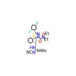 CCON(CC)C(=O)N1N=C(c2cc(F)ccc2F)SC1(CCCN/C(=N\C#N)NC)c1ccccc1